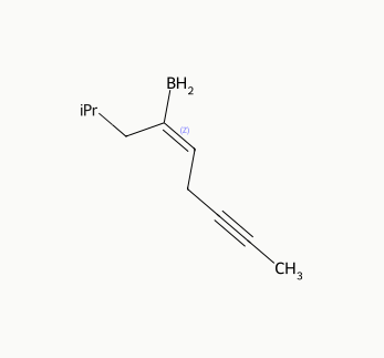 B/C(=C/CC#CC)CC(C)C